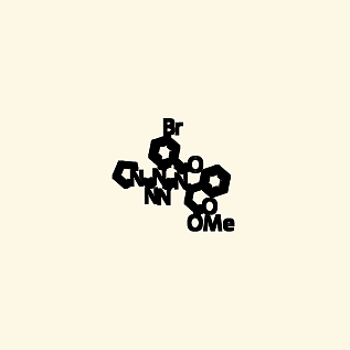 COC(=O)CC(c1ccccc1)n1c(=O)c2cc(Br)ccc2n2c(N3CCCC3)nnc12